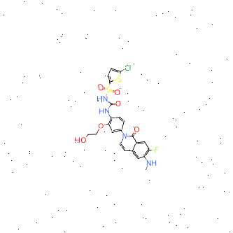 CNc1cc2ccn(-c3ccc(NC(=O)NS(=O)(=O)c4ccc(Cl)s4)c(OCCO)c3)c(=O)c2cc1F